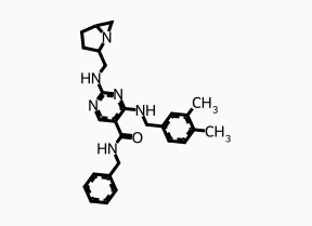 Cc1ccc(CNc2nc(NCC3CCC4CN34)ncc2C(=O)NCc2ccccc2)cc1C